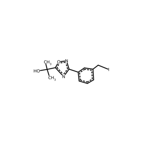 CC(C)(O)c1nc(-c2cccc(CI)c2)no1